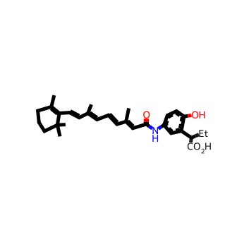 CCC(C(=O)O)c1cc(NC(=O)/C=C(C)/C=C/C=C(C)/C=C/C2=C(C)CCCC2(C)C)ccc1O